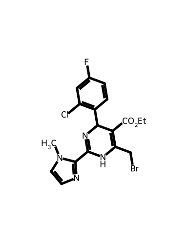 CCOC(=O)C1=C(CBr)NC(c2nccn2C)=NC1c1ccc(F)cc1Cl